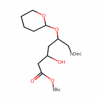 CCCCCCCCCCCC(CC(O)CC(=O)OC(C)(C)C)OC1CCCCO1